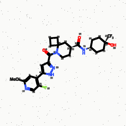 COc1cc(-c2cc(C(=O)N3CC[C@@H](C(=O)N[C@H]4CC[C@@](O)(C(F)(F)F)CC4)CC34CCC4)n[nH]2)c(F)cn1